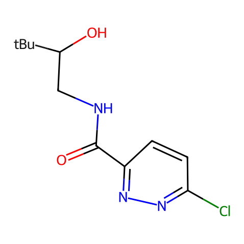 CC(C)(C)C(O)CNC(=O)c1ccc(Cl)nn1